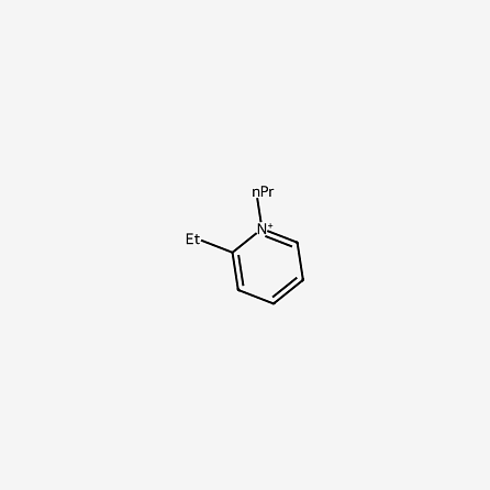 CCC[n+]1ccccc1CC